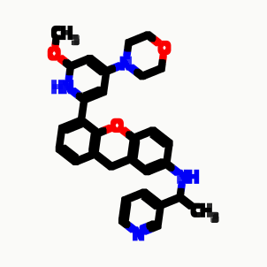 COC1C=C(N2CCOCC2)C=C(c2cccc3c2Oc2ccc(NC(C)c4cccnc4)cc2C3)N1